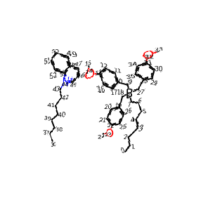 CCCCCCCC[B-](Cc1ccc(OC)cc1)(Cc1ccc(OC)cc1)Cc1ccc(OC)cc1.CCCCCCCC[n+]1cccc2ccccc21